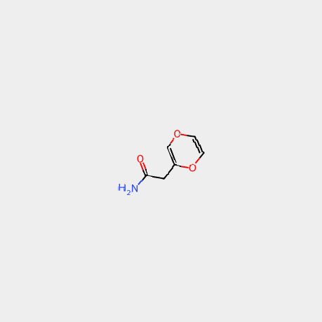 NC(=O)CC1=COC=CO1